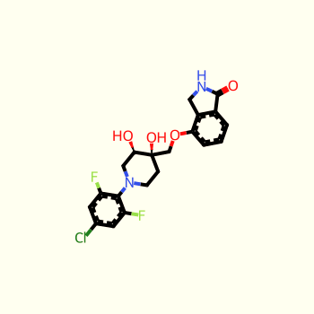 O=C1NCc2c(OC[C@]3(O)CCN(c4c(F)cc(Cl)cc4F)C[C@H]3O)cccc21